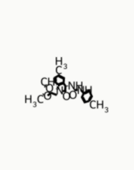 CCOC(CN1C(=O)[C@@H](NC(=O)Nc2ccc(C)cc2)c2cc(C)ccc21)OCC